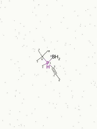 B[PH](C)(C#CC)C(C)(C)C